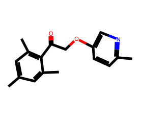 Cc1cc(C)c(C(=O)COc2ccc(C)nc2)c(C)c1